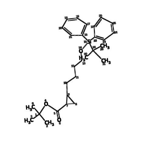 CC(C)(C)OC(=O)C1CC1CCCCO[Si](c1ccccc1)(c1ccccc1)C(C)(C)C